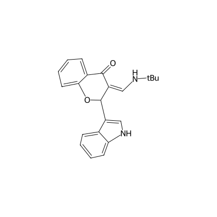 CC(C)(C)N/C=C1\C(=O)c2ccccc2OC1c1c[nH]c2ccccc12